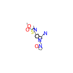 CCOC(=O)c1sc(-c2ccc3c(c2)c(C#N)cn3CCN2CCCC2=O)nc1C